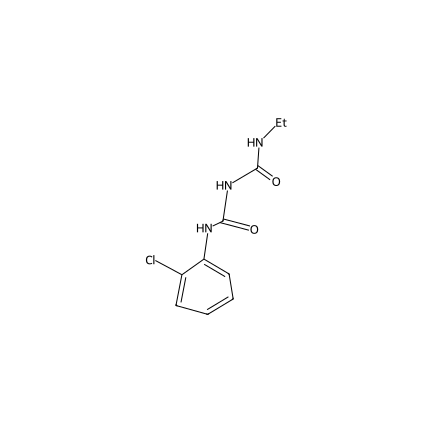 CCNC(=O)NC(=O)Nc1ccccc1Cl